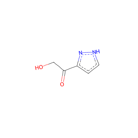 O=C(CO)c1cc[nH]n1